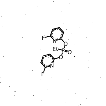 CCP(=O)(Oc1cccc(F)n1)Oc1cccc(F)n1